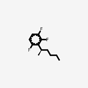 CCCC[C@@H](C)c1c(F)ccc(F)c1F